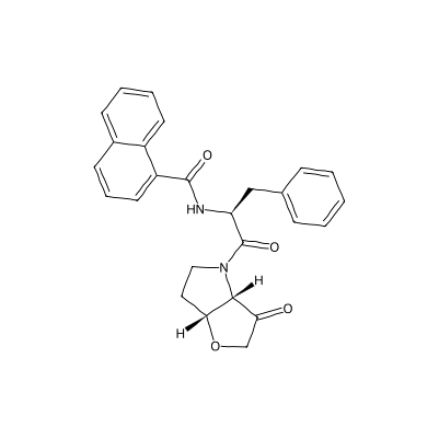 O=C(N[C@@H](Cc1ccccc1)C(=O)N1CC[C@H]2OCC(=O)[C@H]21)c1cccc2ccccc12